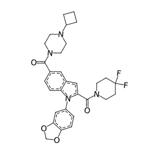 O=C(c1ccc2c(c1)cc(C(=O)N1CCC(F)(F)CC1)n2-c1ccc2c(c1)OCO2)N1CCN(C2CCC2)CC1